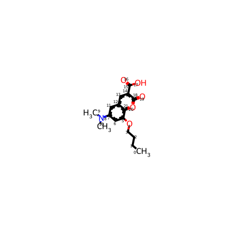 CCCCOc1cc(N(C)C)cc2cc(C(=O)O)c(=O)oc12